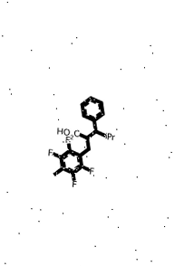 Cc1c(F)c(F)c(CC(C(=O)O)C(c2ccccc2)C(C)C)c(F)c1F